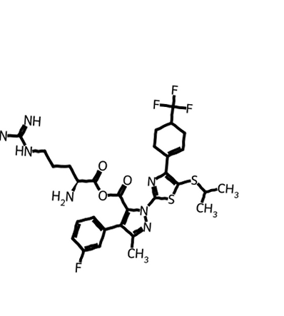 Cc1nn(-c2nc(C3=CCC(C(F)(F)F)CC3)c(SC(C)C)s2)c(C(=O)OC(=O)[C@@H](N)CCCNC(=N)N)c1-c1cccc(F)c1